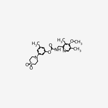 COc1c(C)cnc(CNC(=O)Oc2cc(C)cc(N3CCS(=O)(=O)CC3)c2)c1C